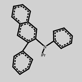 CC(C)N(c1ccccc1)c1cc2ccccc2cc1-c1ccccc1